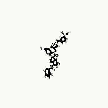 CC(C)c1ccc(N(Cc2cnn(Cc3cccc(N(C)C)c3)c2)C(=O)C2CCCc3c(OCc4ccccc4)cccc32)cn1